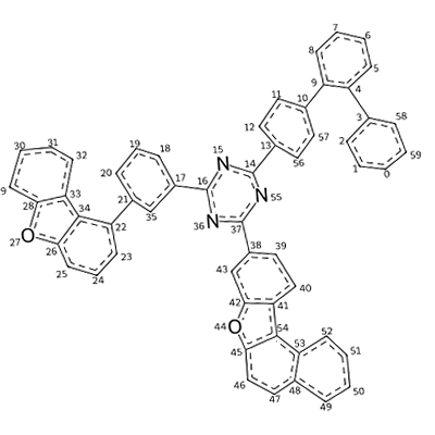 c1ccc(-c2ccccc2-c2ccc(-c3nc(-c4cccc(-c5cccc6oc7ccccc7c56)c4)nc(-c4ccc5c(c4)oc4ccc6ccccc6c45)n3)cc2)cc1